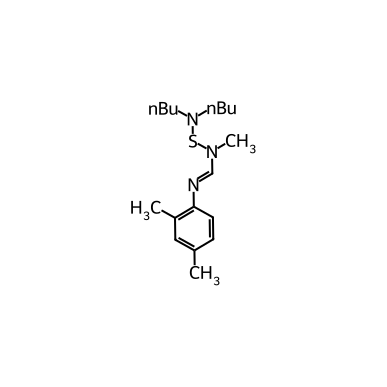 CCCCN(CCCC)SN(C)C=Nc1ccc(C)cc1C